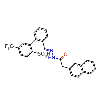 O=C(Cc1ccc2ccccc2c1)N/N=C/c1ccccc1-c1cc(C(F)(F)F)ccc1S(=O)(=O)O